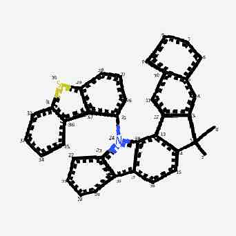 CC1(C)c2cc3ccccc3cc2-c2c1ccc1c3ccccc3n(-c3cccc4sc5ccccc5c34)c21